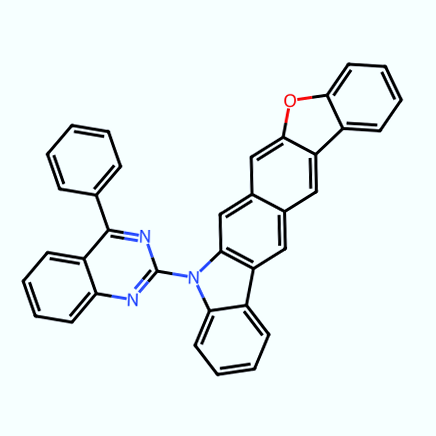 c1ccc(-c2nc(-n3c4ccccc4c4cc5cc6c(cc5cc43)oc3ccccc36)nc3ccccc23)cc1